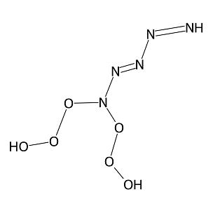 N=N/N=N/N(OOO)OOO